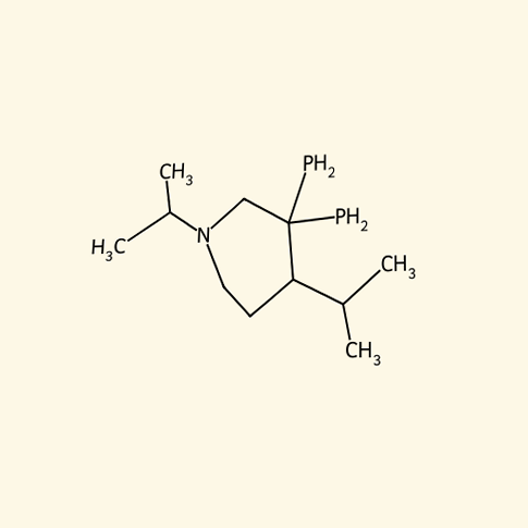 CC(C)C1CCN(C(C)C)CC1(P)P